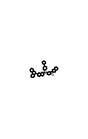 c1ccc(-c2ccc(N(c3ccc4ccc(-c5cc6ccccc6c6ccccc56)cc4c3)c3ccc4sc5cc6ccccc6cc5c4c3)cc2)cc1